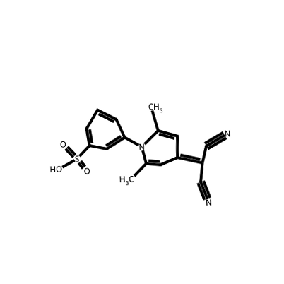 CC1=CC(=C(C#N)C#N)C=C(C)N1c1cccc(S(=O)(=O)O)c1